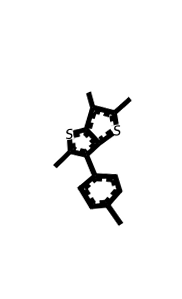 Cc1ccc(-c2c(C)sc3c(C)c(C)sc23)cc1